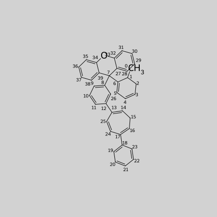 CC1CC=CC=C1C1(c2cccc(C3=CCC=C(c4ccccc4)C=C3)c2)c2ccccc2Oc2ccccc21